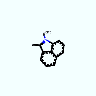 CCCC(C)[N+]1=C(C)c2cccc3cccc1c23